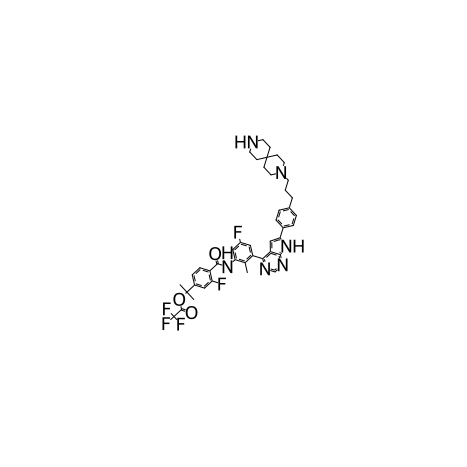 Cc1c(NC(=O)c2ccc(C(C)(C)OC(=O)C(F)(F)F)cc2F)cc(F)cc1-c1ncnc2[nH]c(-c3ccc(CCCN4CCC5(CCNCC5)CC4)cc3)cc12